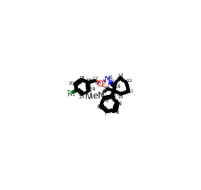 CNC(=S)C1(c2ccccc2)CCCC/C1=N/OCc1ccc(F)cc1